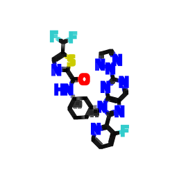 O=C(N[C@H]1CCC[C@@H](n2c(-c3ncccc3F)nc3cnc(-n4nccn4)nc32)C1)c1ncc(C(F)F)s1